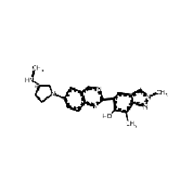 CN[C@@H]1CCN(c2ccc3nc(-c4cc5cn(C)nc5c(C)c4O)ncc3c2)C1